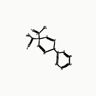 O=C(O)C1([N+](=O)[O-])C=CC(c2ccccc2)C=C1